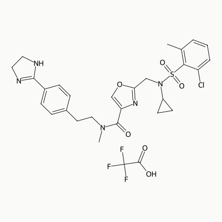 Cc1cccc(Cl)c1S(=O)(=O)N(Cc1nc(C(=O)N(C)CCc2ccc(C3=NCCN3)cc2)co1)C1CC1.O=C(O)C(F)(F)F